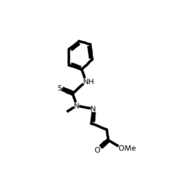 COC(=O)CC=NN(C)C(=S)Nc1ccccc1